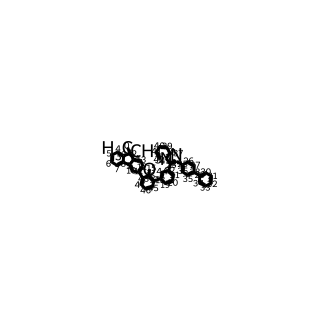 CC1(C)c2ccccc2-c2cc3c(cc21)oc1c(-c2cccc(-c4c(-c5ccc(-c6ccccc6)cc5)nc5ccccn45)c2)cccc13